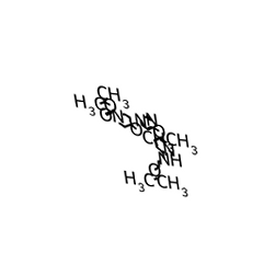 Cc1nc(NCCOC(C)C)ccc1Oc1ncnc(OC2CCN(C(=O)OC(C)C)CC2)c1C